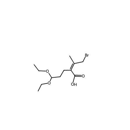 CCOC(CC/C(C(=O)O)=C(\C)CBr)OCC